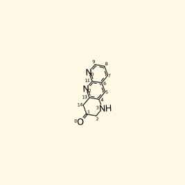 O=C1CNc2cc3cccnc3nc2C1